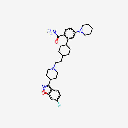 NC(=O)c1ccc(N2CCCCC2)cc1C1CCC(CCN2CCC(c3noc4cc(F)ccc34)CC2)CC1